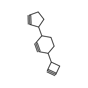 C1#CC([C]2C#CC(C3C#CC3)CC2)CC1